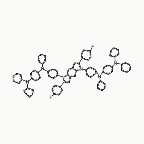 Fc1ccc(-c2cc3cc4c(cc(-c5ccc(F)cc5)n4-c4ccc(N(c5ccccc5)c5ccc(N(c6ccccc6)c6ccccc6)cc5)cc4)cc3n2-c2ccc(N(c3ccccc3)c3ccc(N(c4ccccc4)c4ccccc4)cc3)cc2)cc1